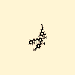 Cc1cc(/C=C/C#N)cc(C)c1Nc1cc(CNCc2cccnc2)nc(Nc2ccc(C#N)cc2)n1